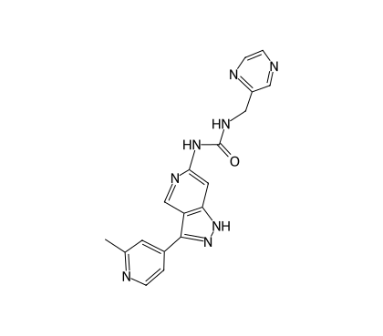 Cc1cc(-c2n[nH]c3cc(NC(=O)NCc4cnccn4)ncc23)ccn1